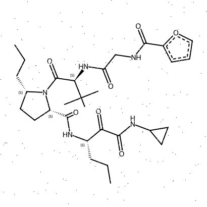 CCC[C@H]1CC[C@@H](C(=O)N[C@@H](CCC)C(=O)C(=O)NC2CC2)N1C(=O)[C@@H](NC(=O)CNC(=O)c1ccco1)C(C)(C)C